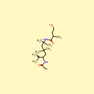 C=C(C)C(CC(C)(C)CC(C)(C)NC(=O)C(C)CCS)NC(=O)C(C)C